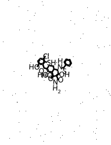 NC(=O)C1=C(O)C(NC(=S)c2ccccc2)C2CC3[SH]c4c(Cl)ccc(O)c4C(=O)C3=C(O)C2(O)C1=O